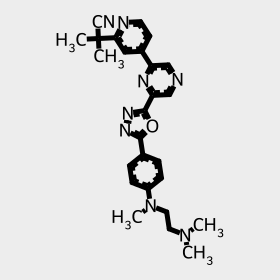 CN(C)CCN(C)c1ccc(-c2nnc(-c3cncc(-c4ccnc(C(C)(C)C#N)c4)n3)o2)cc1